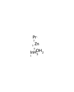 O.[InH3].[Pr].[Zn]